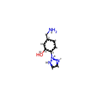 NCc1ccc(-n2nccn2)c(O)c1